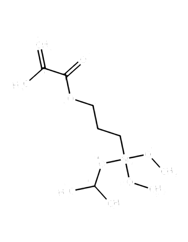 C=C(C)C(=O)OCCC[Si](OC)(OC)OC(C)C